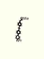 CCCC1CCC(c2ccc(C#Cc3ccc(CCOC)cc3)cc2)CC1